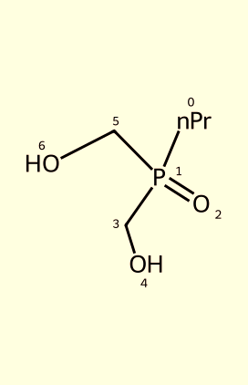 CCCP(=O)(CO)CO